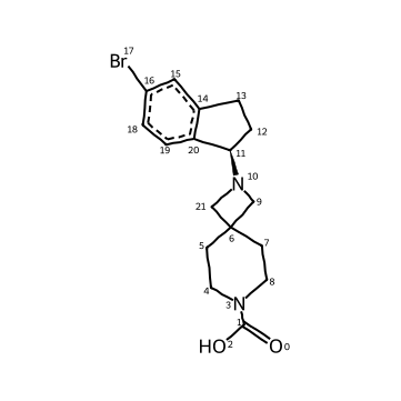 O=C(O)N1CCC2(CC1)CN([C@@H]1CCc3cc(Br)ccc31)C2